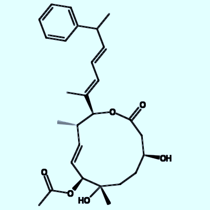 CC(=O)O[C@H]1/C=C/[C@H](C)[C@@H](/C(C)=C/C=C/C(C)c2ccccc2)OC(=O)C[C@@H](O)CC[C@]1(C)O